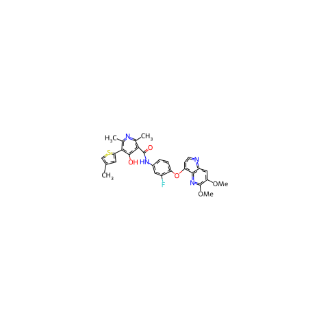 COc1cc2nccc(Oc3ccc(NC(=O)c4c(C)nc(C)c(-c5cc(C)cs5)c4O)cc3F)c2nc1OC